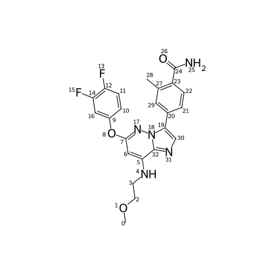 COCCNc1cc(Oc2ccc(F)c(F)c2)nn2c(-c3ccc(C(N)=O)c(C)c3)cnc12